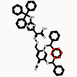 O=C=C1C=C(CO/N=C(\C(=O)O)c2csc(NC(c3ccccc3)(c3ccccc3)c3ccccc3)n2)N(OC(c2ccccc2)c2ccccc2)C=C1OC(c1ccccc1)c1ccccc1